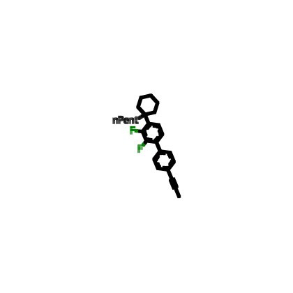 CC#Cc1ccc(-c2ccc(C3(CCCCC)CCCCC3)c(F)c2F)cc1